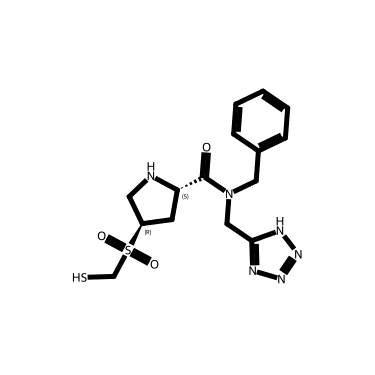 O=C([C@@H]1C[C@@H](S(=O)(=O)CS)CN1)N(Cc1ccccc1)Cc1nnn[nH]1